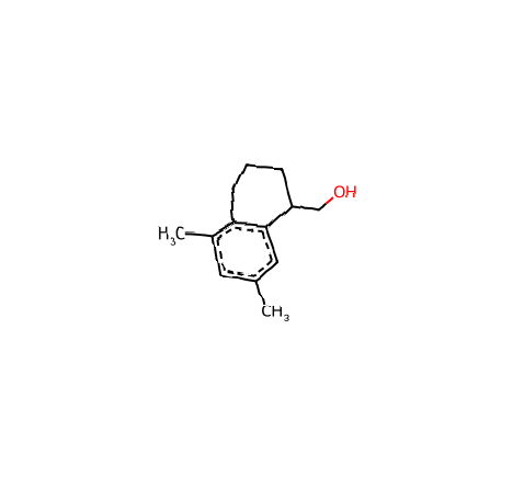 Cc1cc(C)c2c(c1)C(CO)CCC2